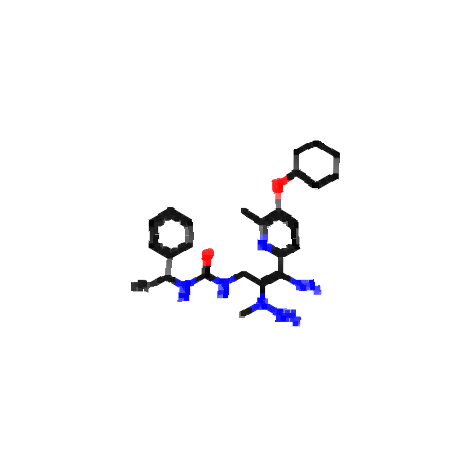 CCCC(NC(=O)NC/C(=C(/N)c1ccc(OC2CCCCC2)c(C)n1)N(C)N)c1ccccc1